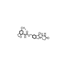 Cc1cc2c(c(NC(=O)OCc3ccc4c(c3)C(=O)N(C3CCC(=O)NC3=O)C4)c1)OCC2